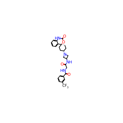 O=C(CNC(=O)c1cccc(C(F)(F)F)c1)NC1CN([C@H]2CC[C@@]3(CC2)OC(=O)Nc2ccccc23)C1